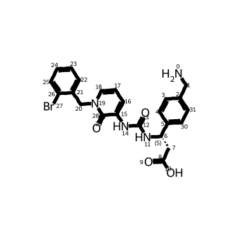 NCc1ccc([C@H](CC(=O)O)NC(=O)Nc2cccn(Cc3ccccc3Br)c2=O)cc1